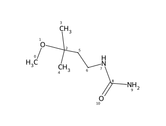 COC(C)(C)CCNC(N)=O